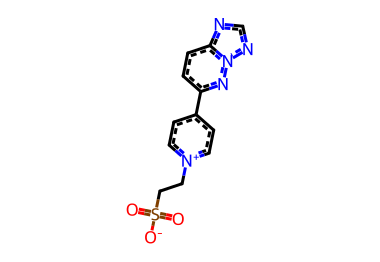 O=S(=O)([O-])CC[n+]1ccc(-c2ccc3ncnn3n2)cc1